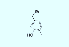 CCC(C)Cc1ccc(C)c(O)c1